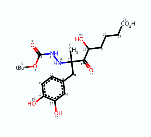 CC(C)(C)OC(=O)NNC(C)(Cc1ccc(O)c(O)c1)C(=O)C(O)CCCC(=O)O